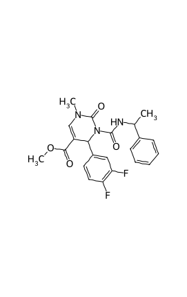 COC(=O)C1=CN(C)C(=O)N(C(=O)NC(C)c2ccccc2)C1c1ccc(F)c(F)c1